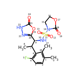 Cc1ccc(F)c(C(C)[C@H](NS(=O)(=O)N2CCOC2=O)c2n[nH]c(=O)o2)c1C